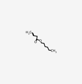 [CH2]C=CCC(=O)OCCCCCC